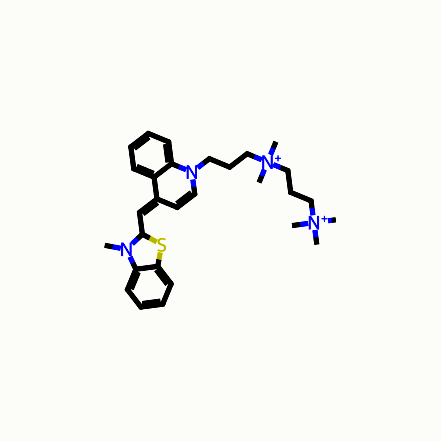 CN1c2ccccc2SC1C=C1C=CN(CCC[N+](C)(C)CCC[N+](C)(C)C)c2ccccc21